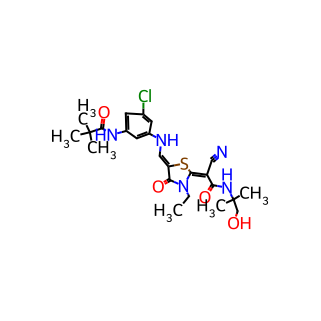 CCn1c(=C(C#N)C(=O)NC(C)(C)CO)sc(=CNc2cc(Cl)cc(NC(=O)C(C)(C)C)c2)c1=O